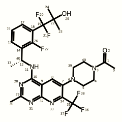 CC(=O)N1CCN(c2cc3c(N[C@H](C)c4cccc(C(F)(F)C(C)(C)O)c4F)nc(C)nc3nc2C(F)(F)F)CC1